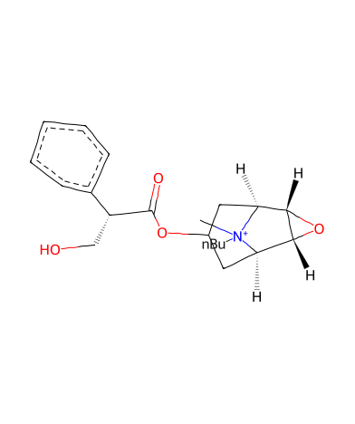 CCCC[N+]1(C)[C@@H]2CC(OC(=O)[C@H](CO)c3ccccc3)C[C@H]1[C@@H]1O[C@@H]12